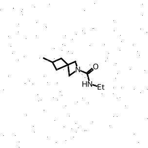 CCNC(=O)N1CC2(CC(C)C2)C1